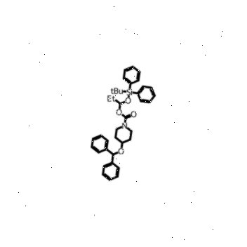 CCC(OC(=O)N1CCC(OC(c2ccccc2)c2ccccc2)CC1)O[Si](c1ccccc1)(c1ccccc1)C(C)(C)C